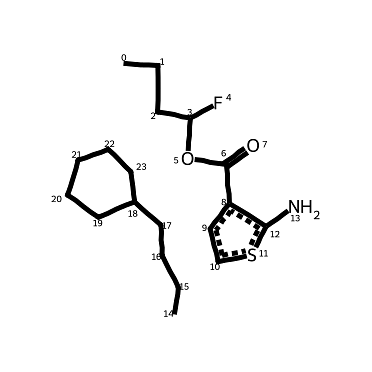 CCCC(F)OC(=O)c1ccsc1N.CCCCC1CCCCC1